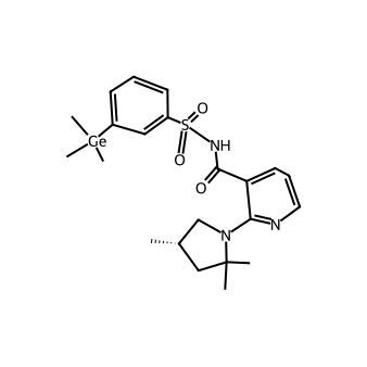 C[C@@H]1CN(c2ncccc2C(=O)NS(=O)(=O)c2ccc[c]([Ge]([CH3])([CH3])[CH3])c2)C(C)(C)C1